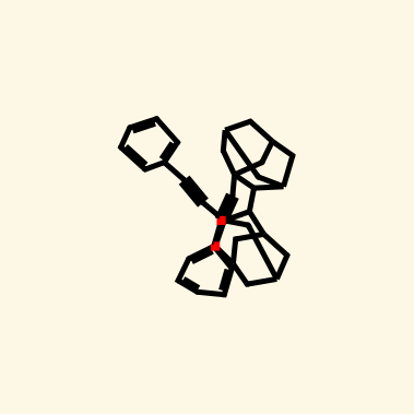 C(#CC12CC3CC(CC(C3)C1C1C3CC4CC(C3)CC1(C#Cc1ccccc1)C4)C2)c1ccccc1